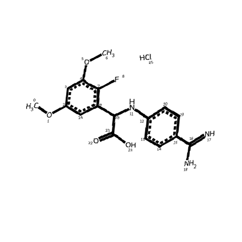 COc1cc(OC)c(F)c(C(Nc2ccc(C(=N)N)cc2)C(=O)O)c1.Cl